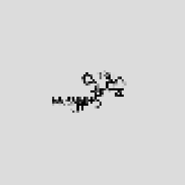 CSNC(=O)C(C)(C)CNC(=O)C1C=C(c2cc(C(C)(C)C)c3c(c2)C2(CCO3)CC2)N(CC2CCCCC2)C1C